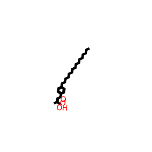 CCCCCCCCCCCCCCCCc1ccc(C(=O)C=C(C)C(=O)O)cc1